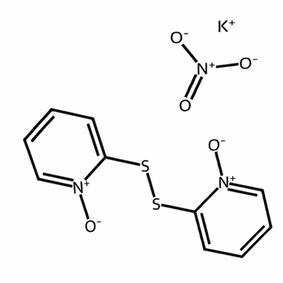 O=[N+]([O-])[O-].[K+].[O-][n+]1ccccc1SSc1cccc[n+]1[O-]